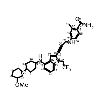 COC1CCCN(C2CCC(Nc3cccc4c3cc(C#CCNc3ccc(C(N)=O)c(C)c3)n4CC(F)(F)F)CC2)C1